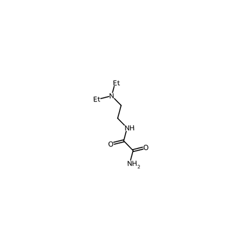 CCN(CC)CCNC(=O)C(N)=O